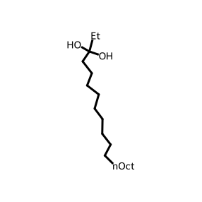 CCCCCCCCCCCCCCCCCC(O)(O)CC